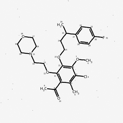 COc1c(Cl)c(C)c(C(C)=O)c(OCCN2CCOCC2)c1OCCC(C)c1ccc(F)cc1